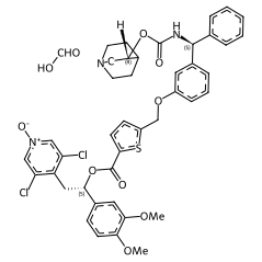 COc1ccc([C@H](Cc2c(Cl)c[n+]([O-])cc2Cl)OC(=O)c2ccc(COc3cccc([C@@H](NC(=O)O[C@H]4CN5CCC4CC5)c4ccccc4)c3)s2)cc1OC.O=CO